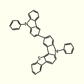 c1ccc(-n2c3ccccc3c3cc(-c4ccc5c(c4)c4c6sc7ccccc7c6ccc4n5-c4ccccc4)ccc32)cc1